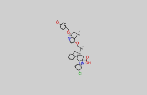 COc1ccc(CO[C@H]2C[C@H](C)Cc3c(OC[C@H](C)C[C@H]4Cc5ccccc5C45CCC(Nc4cccc(Cl)c4)(C(=O)O)CC5)ccnc32)cc1